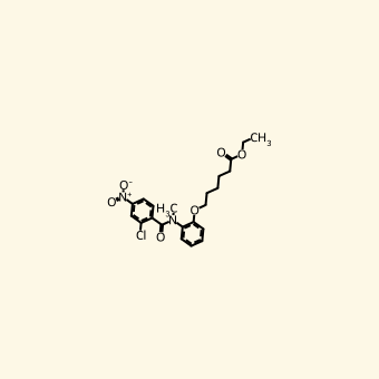 CCOC(=O)CCCCCOc1ccccc1N(C)C(=O)c1ccc([N+](=O)[O-])cc1Cl